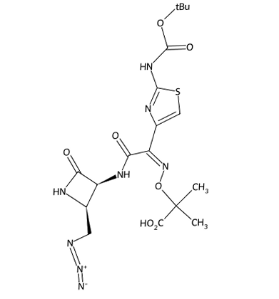 CC(C)(C)OC(=O)Nc1nc(/C(=N/OC(C)(C)C(=O)O)C(=O)N[C@@H]2C(=O)N[C@@H]2CN=[N+]=[N-])cs1